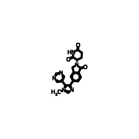 Cn1cnc(-c2ccc3c(c2)CN([C@H]2CCC(=O)NC2=O)C3=O)c1-c1cncnc1